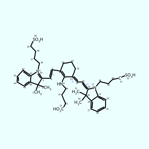 CC1(C)C(/C=C/C2=C(NCCCC(=O)O)C(=C/C=C3/N(CCCCS(=O)(=O)O)c4ccccc4C3(C)C)/CCC2)=[N+](CCCCS(=O)(=O)O)c2ccccc21